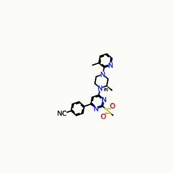 Cc1cccnc1N1CCN(c2cc(-c3ccc(C#N)cc3)nc(S(C)(=O)=O)n2)[C@H](C)C1